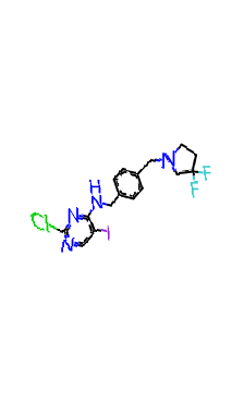 FC1(F)CCN(Cc2ccc(CNc3nc(Cl)ncc3I)cc2)C1